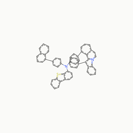 c1ccc(-c2c3ccccc3n3ccc4cccc(-c5ccc(N(c6ccc(-c7cccc8ccccc78)cc6)c6cccc7c6sc6ccccc67)cc5)c4c23)cc1